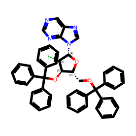 F[C@H]1[C@H](OC(c2ccccc2)(c2ccccc2)c2ccccc2)[C@@H](COC(c2ccccc2)(c2ccccc2)c2ccccc2)O[C@H]1n1cnc2cncnc21